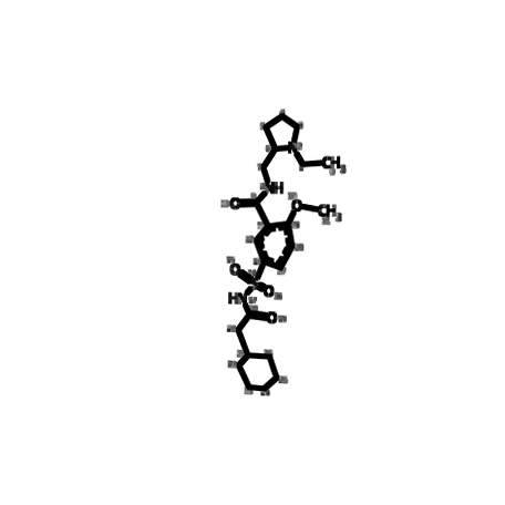 CCN1CCCC1CNC(=O)c1cc(S(=O)(=O)NC(=O)CC2CCCCC2)ccc1OC